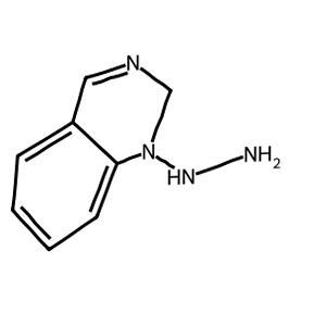 NNN1CN=Cc2ccccc21